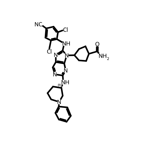 N#Cc1cc(Cl)c(Nc2nc3cnc(N[C@@H]4CCCN(c5ccccc5)C4)nc3n2C2CCC(C(N)=O)CC2)c(Cl)c1